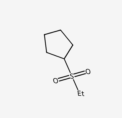 [CH2]CS(=O)(=O)C1CCCC1